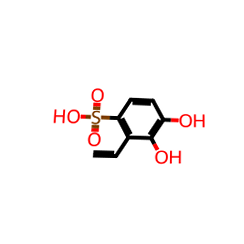 C=Cc1c(S(=O)(=O)O)ccc(O)c1O